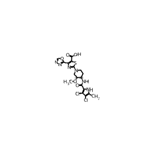 CO[C@H]1CN(c2nc(-c3nnco3)c(C(=O)O)s2)CC[C@H]1NC(=O)c1[nH]c(C)c(Cl)c1Cl